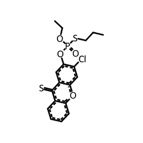 CCCSP(=O)(OCC)Oc1cc2c(=S)c3ccccc3oc2cc1Cl